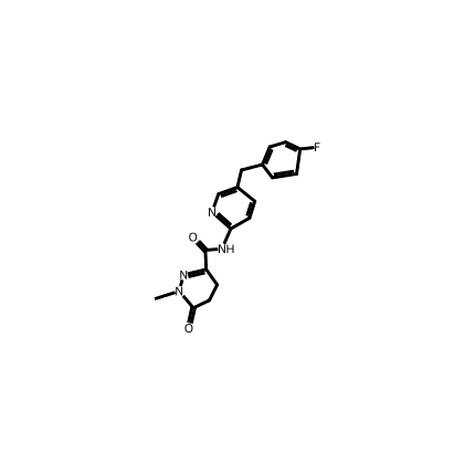 CN1N=C(C(=O)Nc2ccc(Cc3ccc(F)cc3)cn2)CCC1=O